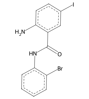 Nc1ccc(I)cc1C(=O)Nc1ccccc1Br